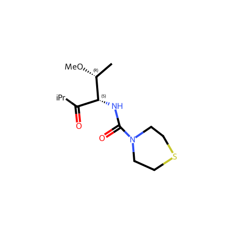 CO[C@H](C)[C@H](NC(=O)N1CCSCC1)C(=O)C(C)C